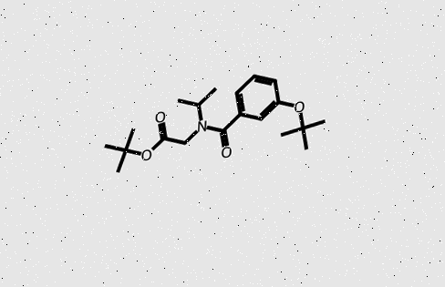 CC(C)N(CC(=O)OC(C)(C)C)C(=O)c1cccc(OC(C)(C)C)c1